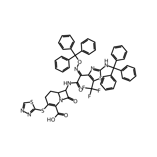 O=C(O)C1=C(Sc2nncs2)CCC2C(NC(=O)C(=NOC(c3ccccc3)(c3ccccc3)c3ccccc3)c3nc(NC(c4ccccc4)(c4ccccc4)c4ccccc4)sc3C(F)(F)F)C(=O)N12